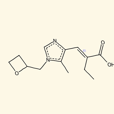 CC/C(=C\c1ncn(CC2CCO2)c1C)C(=O)O